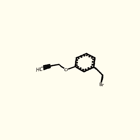 C#CCOc1[c]ccc(CBr)c1